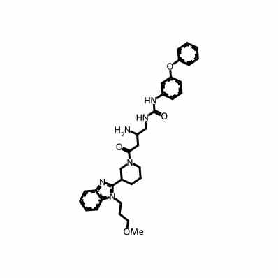 COCCCn1c(C2CCCN(C(=O)CC(N)CNC(=O)Nc3cccc(Oc4ccccc4)c3)C2)nc2ccccc21